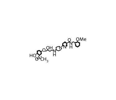 COc1ccccc1CNC(=O)c1ccc(N2CCC(NCCC(O)COc3ccc(O)c([S+](C)[O-])c3)CC2)nc1